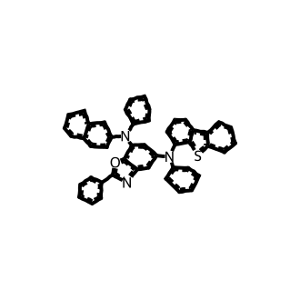 c1ccc(-c2nc3cc(N(c4ccccc4)c4cccc5c4sc4ccccc45)cc(N(c4ccccc4)c4ccc5ccccc5c4)c3o2)cc1